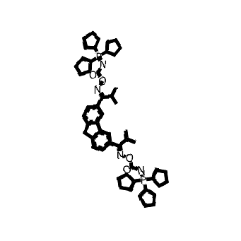 CC(C)/C(=N\OC(=O)N=P(C1CCCC1)(C1CCCC1)C1CCCC1)c1ccc2c(c1)-c1cc(/C(=N/OC(=O)N=P(C3CCCC3)(C3CCCC3)C3CCCC3)C(C)C)ccc1C2